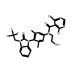 Cc1cc(N(CCO)C(=O)c2c(Cl)ncnc2Cl)cc(C)c1-n1c(=O)n(CC(F)(F)F)c2ccccc21